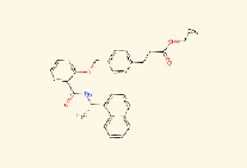 CCOC(=O)CCc1ccc(COc2ccccc2C(=O)N[C@@H](C)c2cccc3ccccc23)cc1